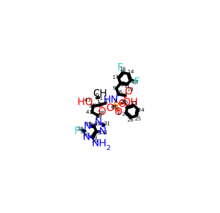 C#C[C@]1(CO[P@@](=O)(NC(Cc2cc(F)cc(F)c2)C(=O)O)Oc2ccccc2)O[C@@H](n2cnc3c(N)nc(F)nc32)C[C@@H]1O